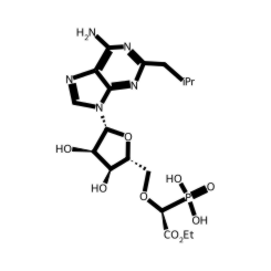 CCOC(=O)[C@@H](OC[C@H]1O[C@@H](n2cnc3c(N)nc(CC(C)C)nc32)[C@H](O)[C@@H]1O)P(=O)(O)O